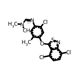 Cc1cc(/N=C\N(C)C)c(Cl)cc1Oc1snc2c(Cl)ccc(Cl)c12